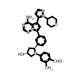 Cc1cc(N2C[C@H](O)C[C@H]2c2cccc(-c3cc(-c4ccnn4C4CCOCC4)c4c(N)ncnn34)c2)ccc1C=O